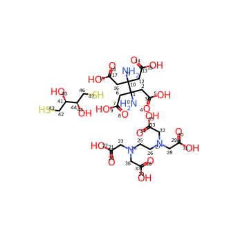 NC(CC(=O)O)(CC(=O)O)C(N)(CC(=O)O)CC(=O)O.O=C(O)CN(CCN(CC(=O)O)CC(=O)O)CC(=O)O.O[C@H](CS)[C@H](O)CS